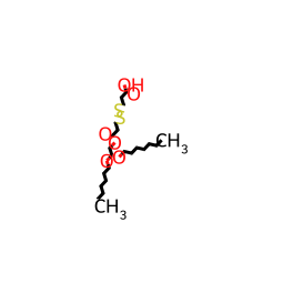 CCCCCCCOC(COC(=O)CCSSCCC(=O)O)OCCCCCCC